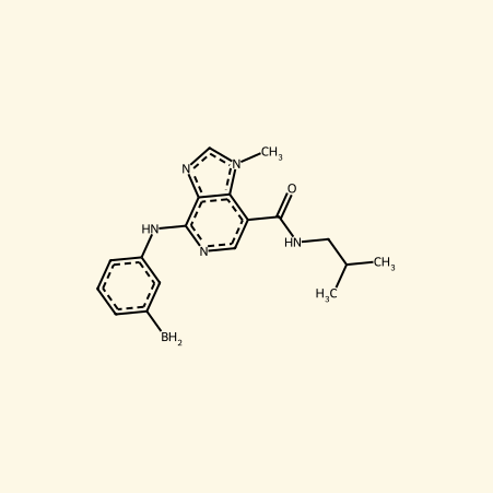 Bc1cccc(Nc2ncc(C(=O)NCC(C)C)c3c2ncn3C)c1